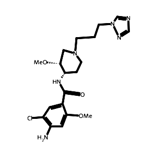 COc1cc(N)c(Cl)cc1C(=O)N[C@H]1CCN(CCCn2cncn2)C[C@H]1OC